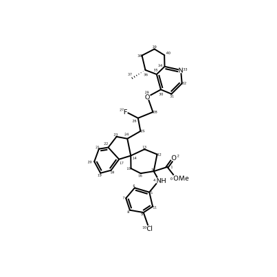 COC(=O)C1(Nc2cccc(Cl)c2)CCC2(CC1)c1ccccc1CC2CC(F)COc1ccnc2c1[C@H](C)CCC2